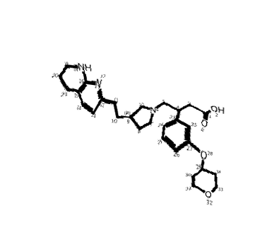 O=C(O)CC(CN1CC[C@@H](CCc2ccc3c(n2)NCCC3)C1)c1cccc(OC2CCOCC2)c1